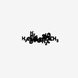 C=C(C)C(=O)c1csc(OSOc2cc(C(=O)C(=C)C)cs2)c1